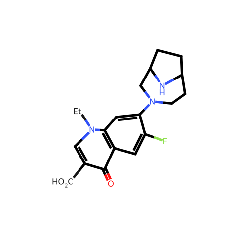 CCn1cc(C(=O)O)c(=O)c2cc(F)c(N3CCC4CCC(C3)N4)cc21